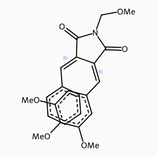 COCN1C(=O)C(=C/c2ccccc2)/C(=C\c2cc(OC)c(OC)c(OC)c2)C1=O